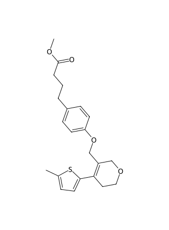 COC(=O)CCCc1ccc(OCC2=C(c3ccc(C)s3)CCOC2)cc1